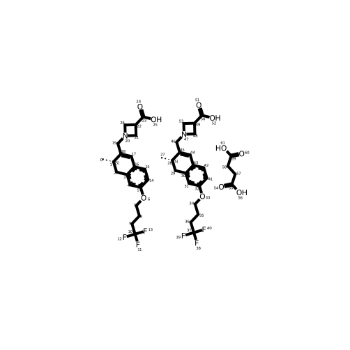 C[C@H]1Cc2cc(OCCCC(F)(F)F)ccc2C=C1CN1CC(C(=O)O)C1.C[C@H]1Cc2cc(OCCCC(F)(F)F)ccc2C=C1CN1CC(C(=O)O)C1.O=C(O)CCC(=O)O